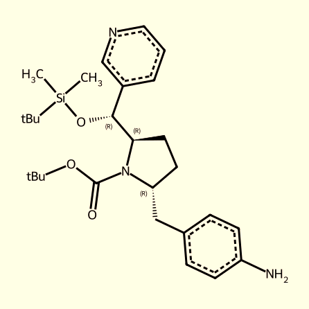 CC(C)(C)OC(=O)N1[C@@H](Cc2ccc(N)cc2)CC[C@@H]1[C@H](O[Si](C)(C)C(C)(C)C)c1cccnc1